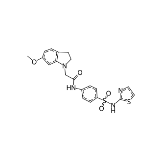 COc1ccc2c(c1)N(CC(=O)Nc1ccc(S(=O)(=O)Nc3nccs3)cc1)CC2